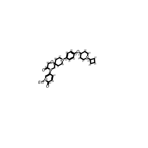 CCn1cc(N2CC3(CCN(c4ccc(OC5CCN(C6CCC6)CC5)cc4)CC3)OCC2=O)ccc1=O